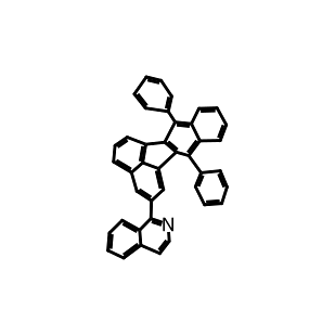 c1ccc(-c2c3c(c(-c4ccccc4)c4ccccc24)-c2cc(-c4nccc5ccccc45)cc4cccc-3c24)cc1